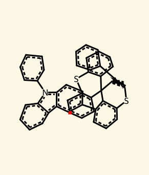 c1ccc(-c2cccc3c2C2(c4ccccc4Sc4ccccc42)c2c(cccc2-c2ccc4c(c2)c2ccccc2n4-c2ccccc2)S3)cc1